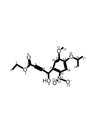 CCOC(=O)C#CC(O)c1cc(OC)c(OC(C)C)cc1[N+](=O)[O-]